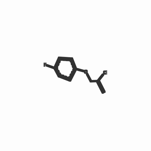 C=C(Cl)COc1ccc(F)cc1